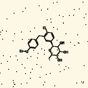 CCOc1ccc(Cc2cc([C@@H]3OC(C)C(O)C(O)C3O)ccc2Cl)cc1